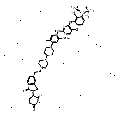 [2H]C([2H])([2H])Oc1cccc(Nc2nc(Nc3cc(C)c(N4CCC(N5CCN(CCc6ccc7c(c6)CN(C6CCC(=O)NC6=O)C7=O)CC5)CC4)cc3OC)ncc2Cl)c1NS(C)(=O)=O